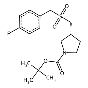 CC(C)(C)OC(=O)N1CC[C@@H](CS(=O)(=O)Cc2ccc(F)cc2)C1